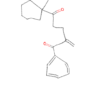 C=C(CCC(=O)C1(C)CCCCC1)C(=O)c1ccccc1